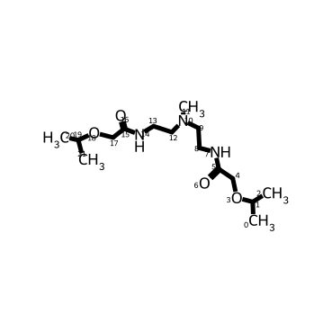 CC(C)OCC(=O)NCCN(C)CCNC(=O)COC(C)C